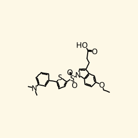 CCOc1ccc2c(c1)c(CCC(=O)O)cn2S(=O)(=O)c1ccc(-c2cccc(N(C)C)c2)s1